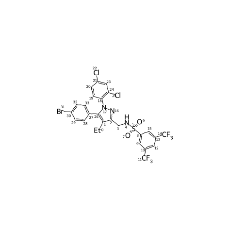 CCc1c(CNS(=O)(=O)c2cc(C(F)(F)F)cc(C(F)(F)F)c2)nn(-c2ccc(Cl)cc2Cl)c1-c1ccc(Br)cc1